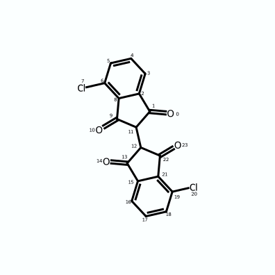 O=C1c2cccc(Cl)c2C(=O)C1C1C(=O)c2cccc(Cl)c2C1=O